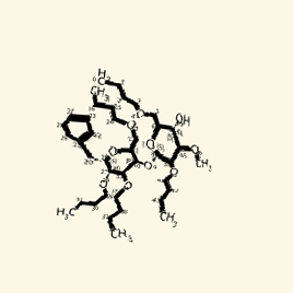 CCCCOCC1O[C@@H](O[C@@H]2C(COCCCC)O[C@@H](Cc3ccccc3)[C@@H](OCCCC)C2OCCCC)C(OCCCC)C(OC)[C@H]1O